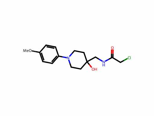 COc1ccc(N2CCC(O)(CNC(=O)CCl)CC2)cc1